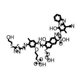 Cc1cc(N=Nc2c(SOOO)cc3cc(S(=O)(=O)O)c(N=Nc4c(C)c(C#N)c5nc6ccccc6n5c4O)cc3c2O)c(OCCCS(=O)(=O)O)cc1N=Nc1nnc(SCCO)s1